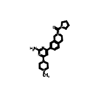 CN1CCN(c2cc(-c3ccc4c(c3)CN(C(=O)N3CCCC3)CC4)nc(N)n2)CC1